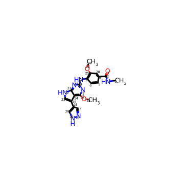 CNC(=O)c1ccc(Nc2nc(OC)c3c(-c4cn[nH]c4)c[nH]c3n2)c(OC)c1